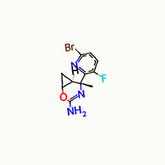 C[C@@]1(c2nc(Br)ccc2F)N=C(N)OC2C[C@H]21